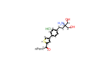 CCCCCC(=O)c1cc(-c2ccc(CCC(N)(CO)CO)cc2)cs1.Cl